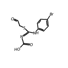 O=CCS/C(=N/C(=O)O)Nc1ccc(Br)cc1